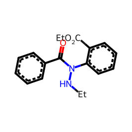 CCNN(C(=O)c1ccccc1)c1ccccc1C(=O)OCC